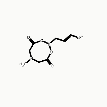 CCCC=CCB1OC(=O)CN(C)CC(=O)O1